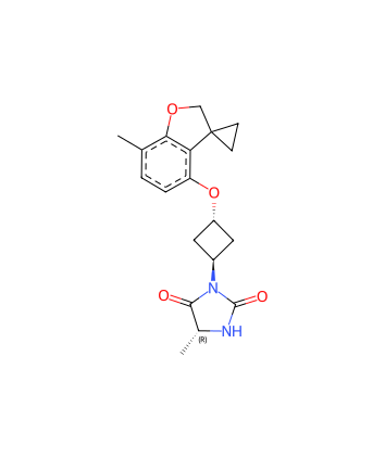 Cc1ccc(O[C@H]2C[C@H](N3C(=O)N[C@H](C)C3=O)C2)c2c1OCC21CC1